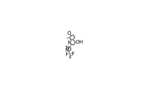 COc1ccc2c(O)cc(-c3cc(C(F)(F)F)nn3C)nc2c1C